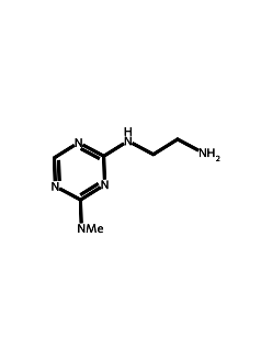 CNc1ncnc(NCCN)n1